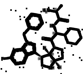 C[C@H](N)C(=O)N[C@H](C(=O)N1CC[C@H]2NC[C@H](c3cn(Cc4ccccc4)c4cc(F)ccc34)[C@H]21)C1CCCCC1